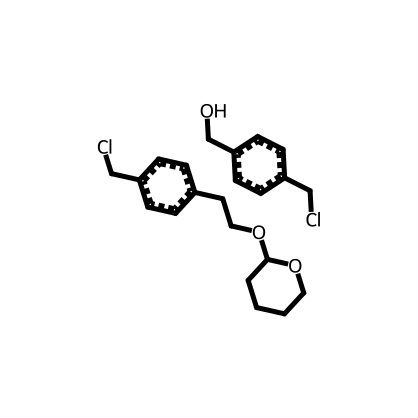 ClCc1ccc(CCOC2CCCCO2)cc1.OCc1ccc(CCl)cc1